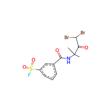 CC(C)(NC(=O)c1cccc(S(=O)(=O)F)c1)C(=O)C(Br)Br